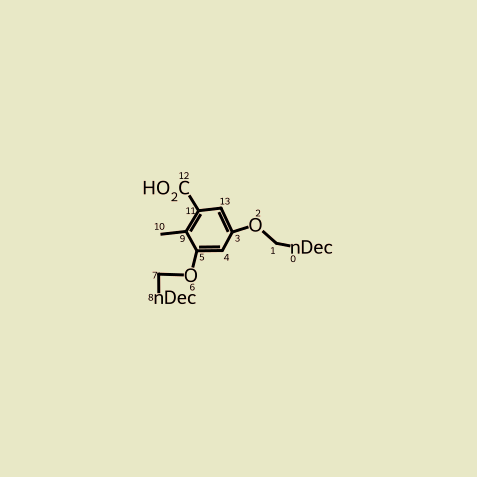 CCCCCCCCCCCOc1cc(OCCCCCCCCCCC)c(C)c(C(=O)O)c1